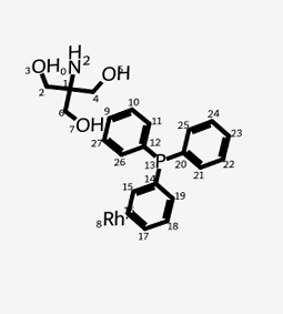 NC(CO)(CO)CO.[Rh].c1ccc(P(c2ccccc2)c2ccccc2)cc1